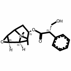 CC[N+]1(C)C2C[C@H](OC(=O)[C@H](CO)c3ccccc3)C[C@H]1[C@H]1OC21